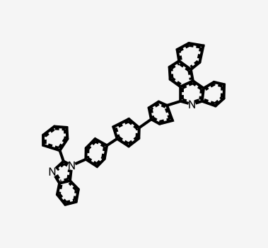 c1ccc(-c2nc3ccccc3n2-c2ccc(-c3ccc(-c4ccc(-c5nc6ccccc6c6c5ccc5ccccc56)cc4)cc3)cc2)cc1